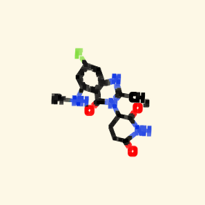 Cc1nc2cc(F)cc(NC(C)C)c2c(=O)n1C1CCC(=O)NC1=O